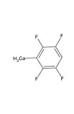 Fc1cc(F)c(F)[c]([GaH2])c1F